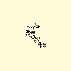 O=C(CCCNC1=NCCN1)Nc1ccc(C[C@H](NC(=O)c2c(Cl)cc(C(=O)O)cc2Cl)C(=O)O)cc1